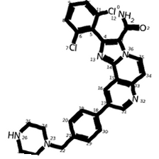 NC(=O)c1c(-c2c(Cl)cccc2Cl)nc2c3cc(-c4ccc(CN5CCNCC5)cc4)cnc3ccn12